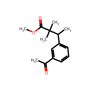 COC(=O)C(C)(C)C(C)c1cccc(C(C)=O)c1